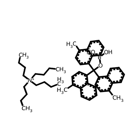 CCCC[N+](CCCC)(CCCC)CCCC.Cc1ccc(C(OB(O)O)(c2ccc(C)c3ccccc23)c2ccc(C)c3ccccc23)c2ccccc12